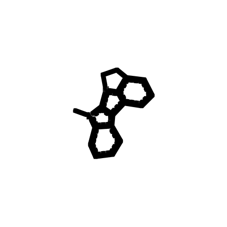 Cn1c2ccccc2c2c3cccc4c3n(c21)CC4